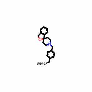 COCc1ccc(CN2CCC3(CC2)OCc2ccccc23)cc1